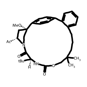 CO[C@@]12C[C@@H](C(C)=O)N(C1)C(=O)[C@H](C(C)(C)C)NC(=O)OCC(C)(C)CCCc1ccccc1-c1ccc2cc1